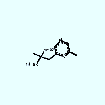 CCCCCCC(C)(CCCCCC)Cc1cncc(C)n1